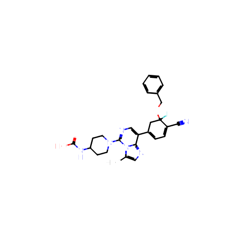 Cc1cnc2c(C3=CC=C(C#N)C(F)(OCc4ccccc4)C3)cnc(N3CCC(NC(=O)O)CC3)n12